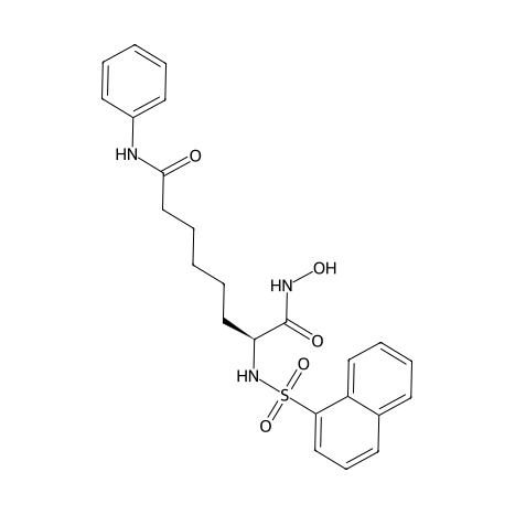 O=C(CCCCC[C@H](NS(=O)(=O)c1cccc2ccccc12)C(=O)NO)Nc1ccccc1